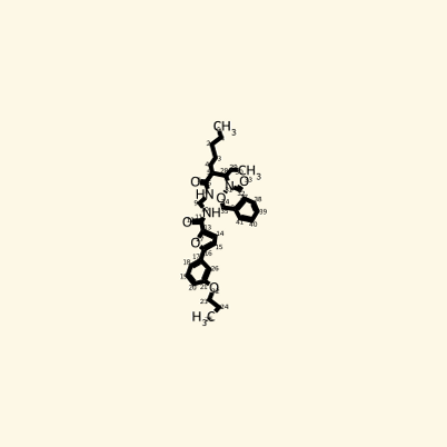 CCCCCC(C(=O)NCNC(=O)c1ccc(-c2cccc(OCCC)c2)o1)C(CC)N(C=O)OCc1ccccc1